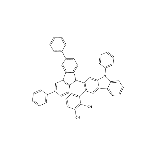 N#Cc1cccc(-c2cc3c4ccccc4n(-c4ccccc4)c3cc2-n2c3ccc(-c4ccccc4)cc3c3cc(-c4ccccc4)ccc32)c1C#N